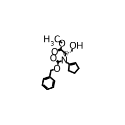 COC(=O)[C@H](CO)N(C(=O)OCc1ccccc1)C1=CCCC1